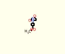 CCOC(=O)c1ccc(N2C(=O)CN3C(=O)CCC32)cc1